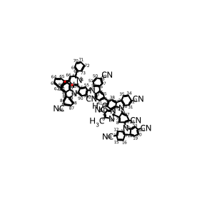 Cc1cc(C)nc(-c2cc(-n3c4cc(C#N)ccc4c4ccc(C#N)cc43)c(C#N)cc2-n2c3cc(C#N)ccc3c3cc(-c4ccc5c(c4)c4cc(C#N)ccc4n5-c4cc(-c5nc(-c6ccccc6)cc(-c6ccccc6)n5)c(-n5c6ccccc6c6cc(C#N)ccc65)cc4C#N)c(C#N)cc32)n1